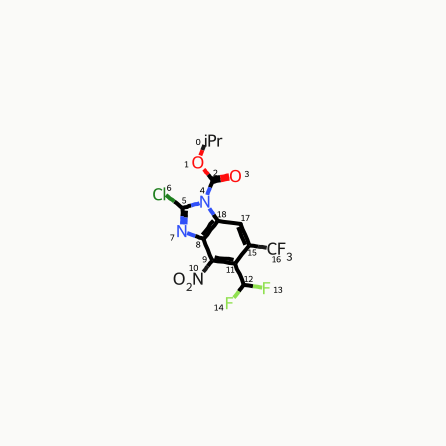 CC(C)OC(=O)n1c(Cl)nc2c([N+](=O)[O-])c(C(F)F)c(C(F)(F)F)cc21